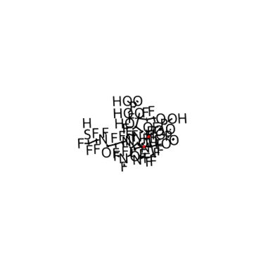 O=C(N(F)C(F)(F)C(F)(F)S)C(F)(F)C(F)(F)N(F)C(=O)[C@@](O)(F)C(C(F)(F)F)(C(F)(F)F)C(F)(F)OP(=O)(O)OP(=O)(O)OC(F)(F)[C@@]1(F)O[C@@](F)(n2c(F)nc3c(N(F)F)nc(F)nc32)[C@@](O)(F)[C@]1(F)OP(=O)(O)O